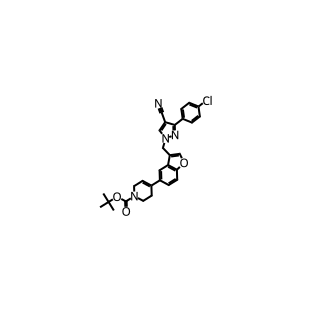 CC(C)(C)OC(=O)N1CC=C(c2ccc3occ(Cn4cc(C#N)c(-c5ccc(Cl)cc5)n4)c3c2)CC1